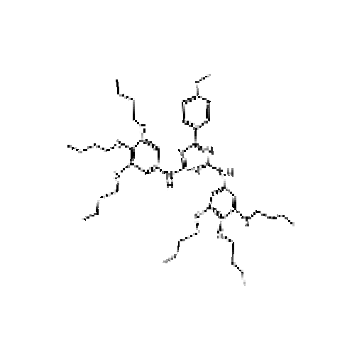 CCCCSc1cc(Nc2nc(Nc3cc(SCCCC)c(SCCCC)c(SCCCC)c3)nc(-c3ccc(CC)cc3)n2)cc(SCCCC)c1SCCCC